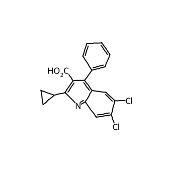 O=C(O)c1c(C2CC2)nc2cc(Cl)c(Cl)cc2c1-c1ccccc1